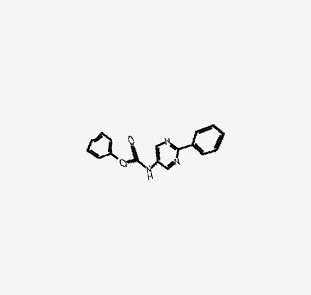 O=C(Nc1cnc(-c2ccccc2)nc1)Oc1ccccc1